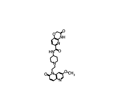 COc1cnc2ccc(=O)n(CCN3CCC(NC(=O)c4ccc5c(n4)NC(=O)CO5)CC3)c2c1